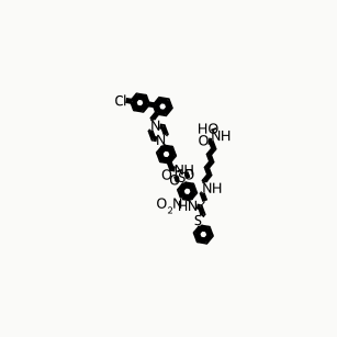 O=C(CCCCCCNCC[C@H](CSc1ccccc1)Nc1ccc(S(=O)(=O)NC(=O)c2ccc(N3CCN(Cc4ccccc4-c4ccc(Cl)cc4)CC3)cc2)cc1[N+](=O)[O-])NO